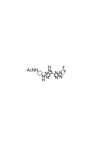 CC(=O)NC1CCC(Nc2ncc3c(-c4cnc5nc(C)n(CC(F)F)c5n4)c[nH]c3n2)CC1